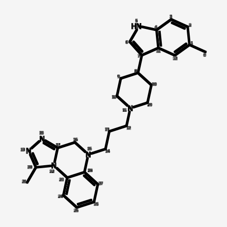 Cc1ccc2[nH]cc(C3CCN(CCCN4Cc5nnc(C)n5-c5ccccc54)CC3)c2c1